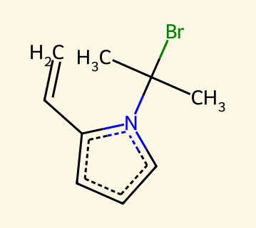 C=Cc1cccn1C(C)(C)Br